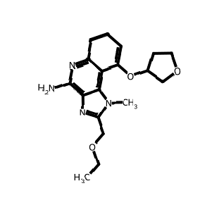 CCOCc1nc2c(N)nc3c(c2n1C)C(OC1CCOC1)=CCC3